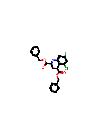 O=C(OCc1ccccc1)C1CC(C(=O)OCc2ccccc2)c2c(Cl)cc(Cl)cc2N1